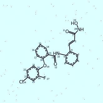 O=C(C=Cc1ccccc1NC(=O)c1ccccc1Oc1ccc(Cl)cc1F)NO